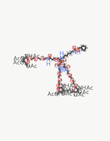 CC(=O)NC1C(OCCOCCOCCNC(=O)CCOCC(COCCC(=O)NCCOCCOCCOC2OC(COC(C)=O)C(OC(C)=O)C(OC(C)=O)C2NC(C)=O)(NC(=O)CCCCCNC(=O)OCc2ccccc2)OCC(=O)NCCOCCOCCOC2OC(COC(C)=O)C(OC(C)=O)C(OC(C)=O)[C@@H]2NC(C)=O)OC(COC(C)=O)C(OC(C)=O)C1OC(C)=O